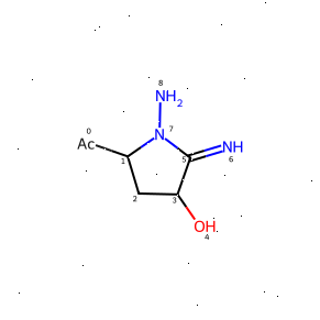 CC(=O)C1CC(O)C(=N)N1N